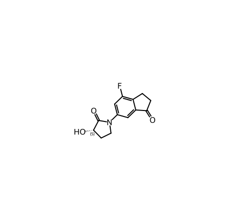 O=C1CCc2c(F)cc(N3CC[C@H](O)C3=O)cc21